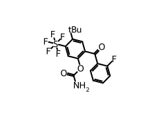 CC(C)(C)c1cc(C(=O)c2ccccc2F)c(OC(N)=O)cc1S(F)(F)(F)(F)F